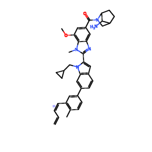 C=C/C=C\c1cc(-c2ccc3cc(-c4nc5cc(C(=O)N6CC7CCC6C7N)cc(OC)c5n4C)n(CC4CC4)c3c2)ccc1C